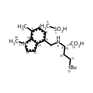 CS(=O)(=O)O.Cc1ccc(CN[C@@H](CCC(C)(C)C)C(=O)O)c2ccn(C)c12